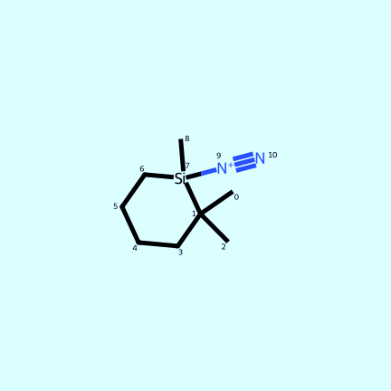 CC1(C)CCCC[Si]1(C)[N+]#N